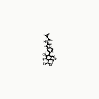 CCN(CC)c1c(F)c(Cl)c(-c2ccn3nc(NC(=O)C4CC4)cc3c2)c2cn[nH]c12